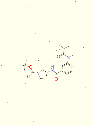 CC(C)C(=O)N(C)c1cccc(C(=O)NC2CCN(C(=O)OC(C)(C)C)C2)c1